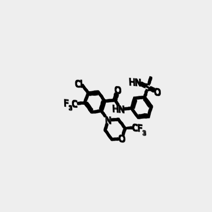 CS(=N)(=O)c1cccc(NC(=O)c2cc(Cl)c(C(F)(F)F)cc2N2CCO[C@H](C(F)(F)F)C2)c1